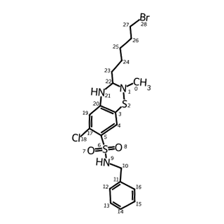 CN1Sc2cc(S(=O)(=O)NCc3ccccc3)c(Cl)cc2NC1CCCCCBr